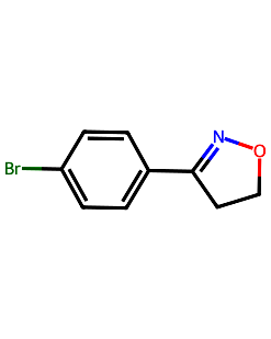 Brc1ccc(C2=NOCC2)cc1